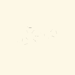 O=C(Cc1ccccc1Cl)Nc1onc(-c2cc(F)c(F)c(F)c2)c1-c1ccncc1